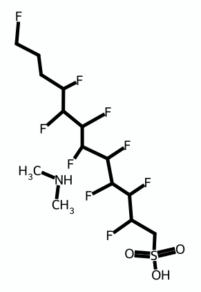 CNC.O=S(=O)(O)CC(F)C(F)C(F)C(F)C(F)C(F)C(F)C(F)CCCF